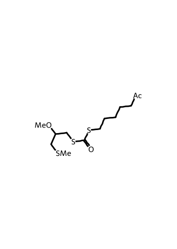 COC(CSC)CSC(=O)SCCCCCC(C)=O